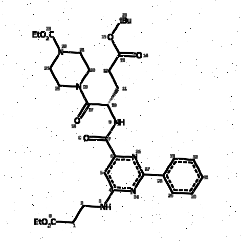 CCOC(=O)CCNc1cc(C(=O)N[C@@H](CCC(=O)OC(C)(C)C)C(=O)N2CCN(C(=O)OCC)CC2)nc(-c2ccccc2)n1